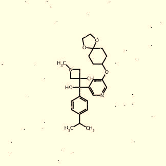 CC(C)c1ccc(C(O)(c2cncc(OC3CCC4(CC3)OCCO4)c2)C2(C)CN(C)C2)cc1